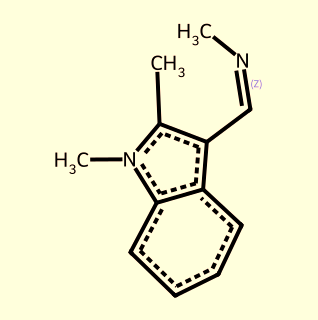 C/N=C\c1c(C)n(C)c2ccccc12